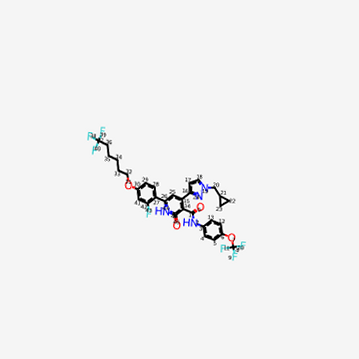 O=C(Nc1ccc(OC(F)(F)F)cc1)c1c(-c2ccn(CC3CC3)n2)cc(-c2ccc(OCCCCCC(F)(F)F)cc2F)[nH]c1=O